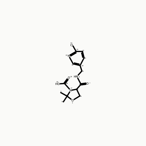 CC1(C)OCC(C(=O)NCc2ccc(Cl)nc2)N1C(=O)O